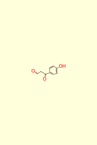 O=CCC(=O)c1ccc(O)cc1